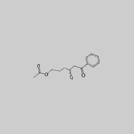 CC(=O)OCCCC(=O)CC(=O)c1ccccc1